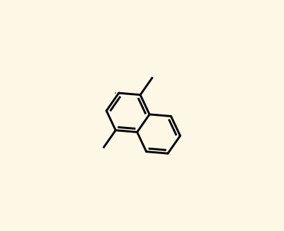 Cc1[c]cc(C)c2ccccc12